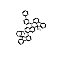 CC1(C)c2ccccc2-c2cccc(N(c3cccc(-c4ccccc4)c3)c3cccc4c(-c5cccc6c5[C@@]5(CCC7CCC[C@H]5C7)c5ccccc5-6)cccc34)c21